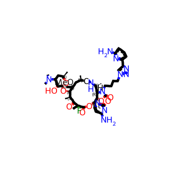 CC[C@H]1OC(=O)C(C)(F)C(=O)[C@@H](C)[C@@H](O[C@@H]2O[C@H](C)CC(N(C)C)C2O)[C@](C)(OC)C[C@@H](C)CN[C@H](C)[C@H]2N(CCCCn3cc(-c4cccc(N)n4)nn3)C(=O)O[C@]12n1ccc(N)nc1=O